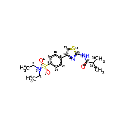 CCN(CC)S(=O)(=O)c1ccc(-c2csc(NC(=O)C(C)C)n2)cc1